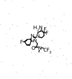 CN(CC(F)(F)F)C(=O)Cn1c(N2CCC(F)(F)[C@H](N)C2)nc2cc(F)ccc21